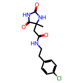 CC1(CC(=O)NCCc2ccc(Cl)cc2)NC(=O)NC1=O